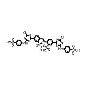 O=S(=O)(O)c1ccc(Nc2nc(Cl)nc(-c3ccc(C=Cc4ccc(-c5nc(Cl)nc(Nc6ccc(S(=O)(=O)O)cc6)n5)cc4S(=O)(=O)O)c(S(=O)(=O)O)c3)n2)cc1